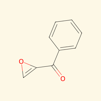 O=C(C1=CO1)c1ccccc1